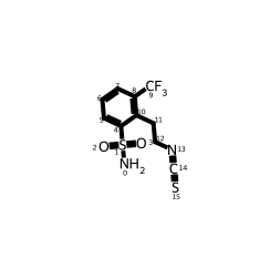 NS(=O)(=O)c1cccc(C(F)(F)F)c1CCN=C=S